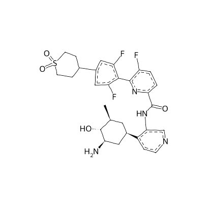 C[C@H]1C[C@@H](c2ccncc2NC(=O)c2ccc(F)c(-c3c(F)cc(C4CCS(=O)(=O)CC4)cc3F)n2)C[C@@H](N)[C@@H]1O